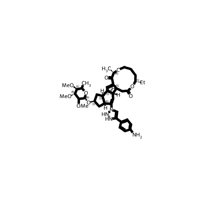 CC[C@H]1CCCC[C@@H](C)C(=O)C2=C[C@@H]3[C@@H](C=C(N4C=C(c5ccc(N)cc5)NN4)[C@@H]4C[C@@H](O[C@@H]5OC(C)[C@H](OC)[C@@H](OC)C5OC)C[C@@H]34)[C@@H]2CC(=O)O1